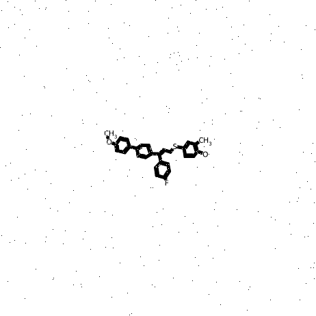 COc1ccc(-c2ccc(/C(=C/CSc3ccc([O])c(C)c3)c3ccc(F)cc3)cc2)cc1